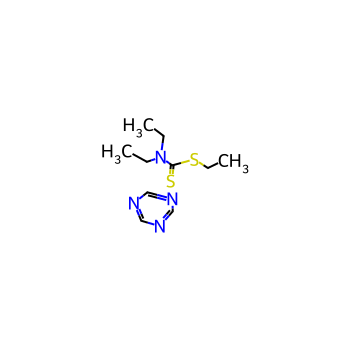 CCSC(=S)N(CC)CC.c1ncncn1